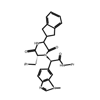 CC(C)C[C@@H]1C(=O)NC(C2Cc3ccccc3C2)C(=O)N1[C@@H](C(=O)NC(C)C)c1ccc2ncn(C)c2c1